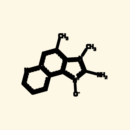 Cc1cc2ncccc2c2c1n(C)c(N)[n+]2[O-]